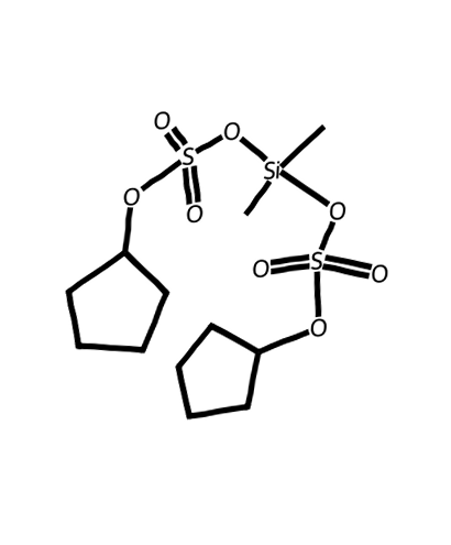 C[Si](C)(OS(=O)(=O)OC1CCCC1)OS(=O)(=O)OC1CCCC1